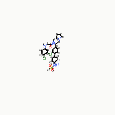 CN(CC(=O)N(C)C(CN1CCCC1)c1ccc(-c2ccc(NS(C)(=O)=O)cc2)cc1)c1ccc(Cl)c(Cl)c1